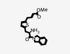 COC(=O)C=CCc1ccc(C[C@@H](N)C(=O)N2Cc3ccccc3C2)s1